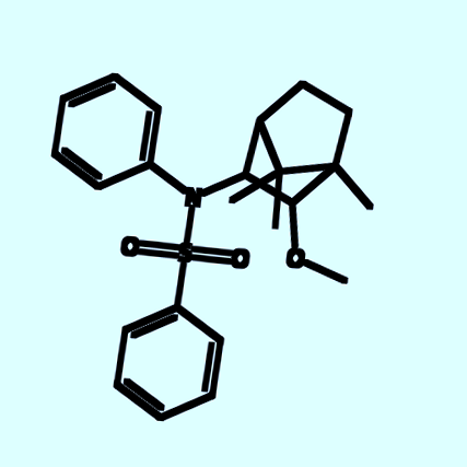 COC1C(N(c2ccccc2)S(=O)(=O)c2ccccc2)C2CCC1(C)C2(C)C